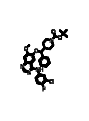 COc1cc2ncnc(Nc3ccc(F)c(Cl)c3)c2cc1OC(c1ccccc1)C1CCN(C(=O)OC(C)(C)C)CC1